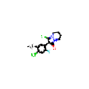 Cc1cc(-c2c(Cl)n3n(c2=O)CCCC3)c(F)cc1Cl